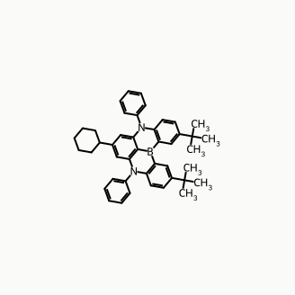 CC(C)(C)c1ccc2c(c1)B1c3cc(C(C)(C)C)ccc3N(c3ccccc3)c3cc(C4CCCCC4)cc(c31)N2c1ccccc1